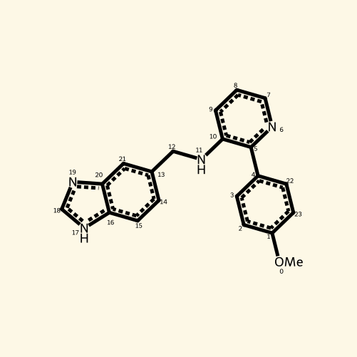 COc1ccc(-c2ncccc2NCc2ccc3[nH]cnc3c2)cc1